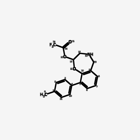 Cc1ccc(-c2cccc3c2OC(OC(=O)C(F)(F)F)CNC3)cc1